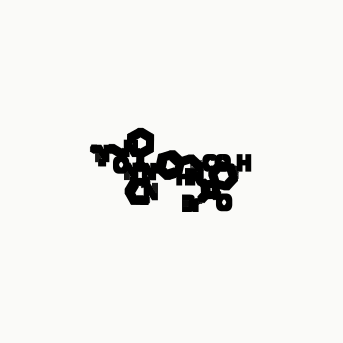 CN(C)CC(=O)N1CCCCC1c1nc2cccnc2n1-c1ccc(C[C@H](NC2=C(Br)C(=O)C23CCCCC3)C(=O)O)cc1